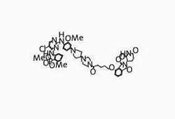 COc1cc(N2CCC(N3CCN(C(=O)CCCCOc4cccc5c4C(=O)N(C4CCC(=O)NC4=O)C5=O)CC3)CC2)ccc1Nc1ncc(Cl)c(Nc2ccccc2P(=O)(OC)OC)n1